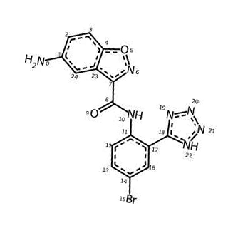 Nc1ccc2onc(C(=O)Nc3ccc(Br)cc3-c3nnn[nH]3)c2c1